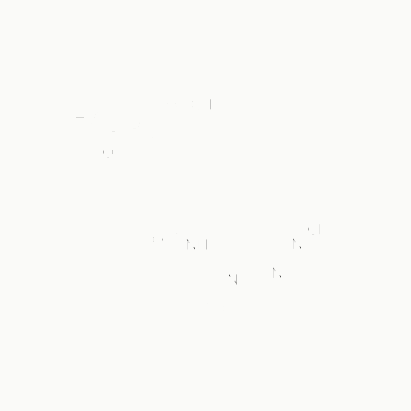 COc1ccc(C=CC(=O)Nc2cccc3ccn(Cc4cn(C)cn4)c23)cc1OC(C)=O